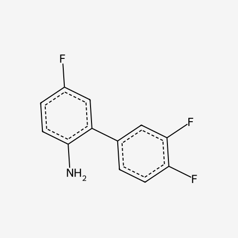 Nc1ccc(F)cc1-c1ccc(F)c(F)c1